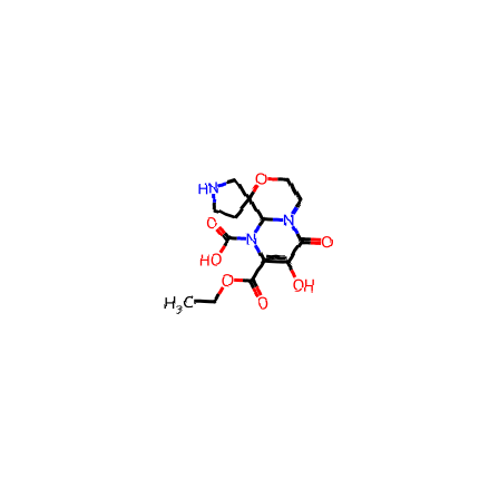 CCOC(=O)C1=C(O)C(=O)N2CCOC3(CCNC3)C2N1C(=O)O